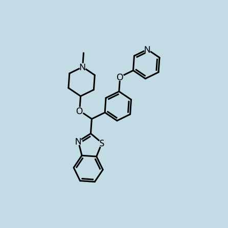 CN1CCC(OC(c2cccc(Oc3cccnc3)c2)c2nc3ccccc3s2)CC1